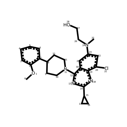 COc1ccccc1C1CCN(c2nc(C3CC3)nc3c(Cl)cc(N(C)CCO)cc23)CC1